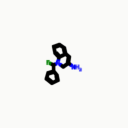 NC1=Cc2ccccc2N(C(F)c2ccccc2)C1